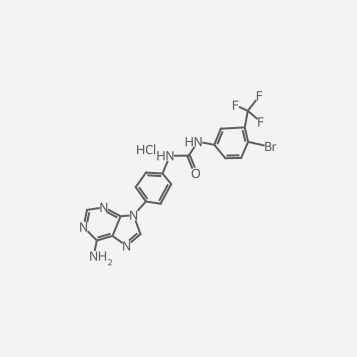 Cl.Nc1ncnc2c1ncn2-c1ccc(NC(=O)Nc2ccc(Br)c(C(F)(F)F)c2)cc1